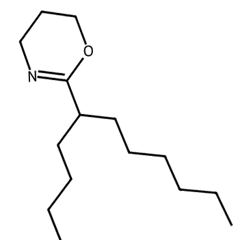 CCCCCCC(CCCC)C1=NCCCO1